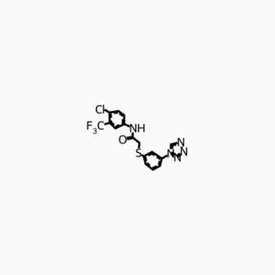 O=C(CSc1cccc(-n2cnnn2)c1)Nc1ccc(Cl)c(C(F)(F)F)c1